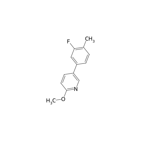 COc1ccc(-c2ccc(C)c(F)c2)cn1